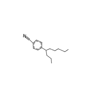 CCCCCC(CCC)c1ccc(C#N)cc1